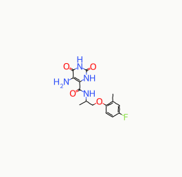 Cc1cc(F)ccc1OCC(C)NC(=O)c1[nH]c(=O)[nH]c(=O)c1N